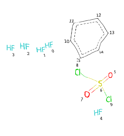 F.F.F.F.F.O=S(=O)(Cl)Cl.c1ccccc1